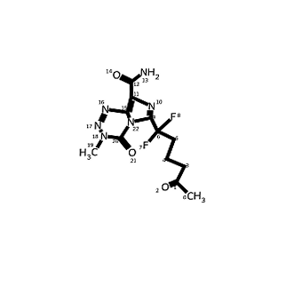 CC(=O)CCCC(F)(F)c1nc(C(N)=O)c2nnn(C)c(=O)n12